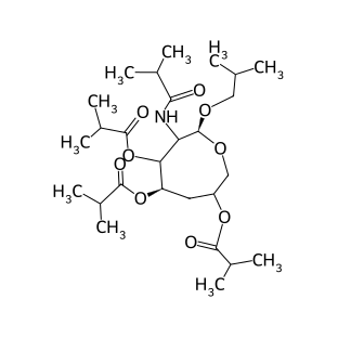 CC(C)CO[C@H]1OCC(OC(=O)C(C)C)C[C@@H](OC(=O)C(C)C)C(OC(=O)C(C)C)C1NC(=O)C(C)C